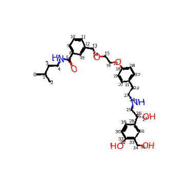 CC(C)CCNC(=O)c1cccc(COCCOc2ccc(CCNC[C@H](O)c3ccc(O)c(CO)c3)cc2)c1